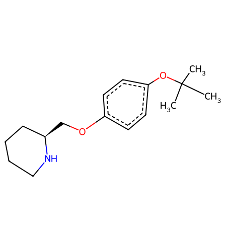 CC(C)(C)Oc1ccc(OC[C@@H]2CCCCN2)cc1